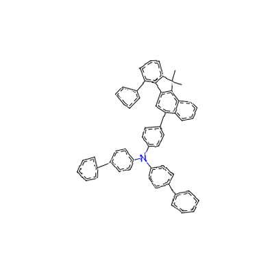 CC1(C)c2cccc(-c3ccccc3)c2-c2cc(-c3ccc(N(c4ccc(-c5ccccc5)cc4)c4ccc(-c5ccccc5)cc4)cc3)c3ccccc3c21